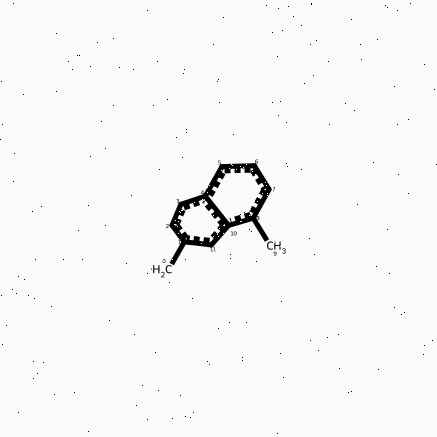 [CH2]c1ccc2cccc(C)c2c1